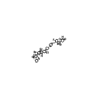 CCOc1cc(N2CCC(N3CCN(CCc4c(F)ccc5c4n(C)c(=O)n5C4CCC(=O)NC4=O)CC3)CC2)c(CC)cc1Nc1ncc(Br)c(Nc2cnc3ccccc3c2P(C)(C)=O)n1